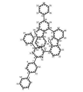 c1ccc(-c2ccc(-c3nc(-c4ccccc4)nc(-c4cccc5c4oc4c(-c6cc(-c7ccccc7)cc7sc8ccccc8c67)cccc45)n3)cc2)cc1